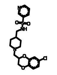 O=S(=O)(NCC1CCN(CC2COc3ccc(Cl)cc3O2)CC1)c1cccnc1